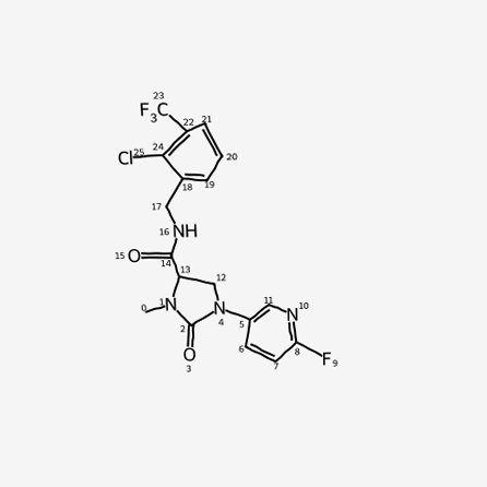 CN1C(=O)N(c2ccc(F)nc2)CC1C(=O)NCc1cccc(C(F)(F)F)c1Cl